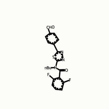 CCCCN(C(=O)c1c(F)cccc1F)c1nnc(-c2ccc(C=O)cc2)s1